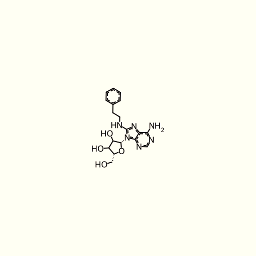 Nc1ncnc2c1nc(NCCc1ccccc1)n2[C@@H]1O[C@H](CO)C(O)C1O